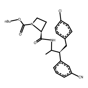 CCCCOC(=O)N1CC[C@H]1C(=O)NC(C)[C@@H](Cc1ccc(Cl)cc1)c1cccc(C#N)c1